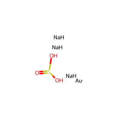 O=S(O)O.[Au].[NaH].[NaH].[NaH]